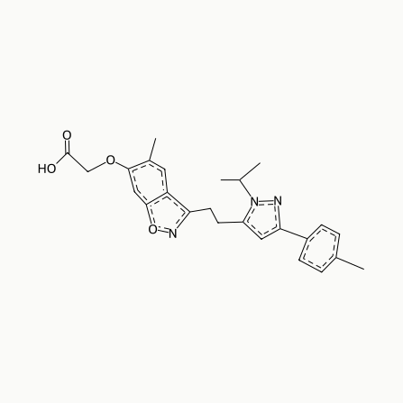 Cc1ccc(-c2cc(CCc3noc4cc(OCC(=O)O)c(C)cc34)n(C(C)C)n2)cc1